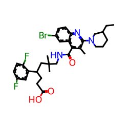 CCC1CCCN(c2nc3ccc(Br)cc3c(C(=O)NCC(C)(C)CC(CCC(=O)O)c3cc(F)ccc3F)c2C)C1